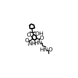 CNC(=O)c1cc(C(=O)NCCCNC(C)=O)cc2c1OCC2(CO)c1ccccc1